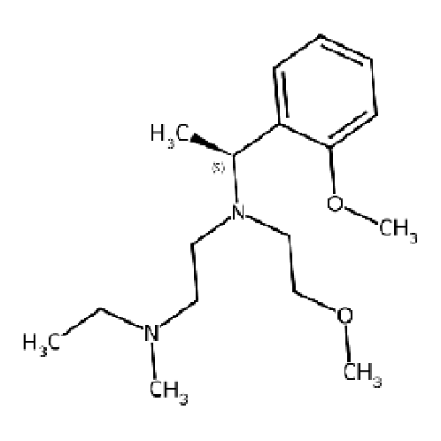 CCN(C)CCN(CCOC)[C@@H](C)c1ccccc1OC